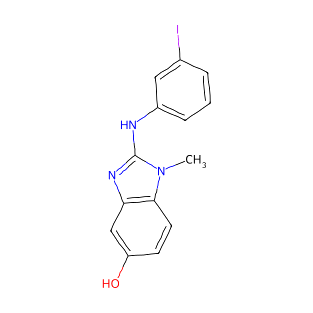 Cn1c(Nc2cccc(I)c2)nc2cc(O)ccc21